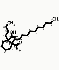 CCCCCCCCCCCC1(C(=O)O)CCCCC1(CCCC)C(=O)O